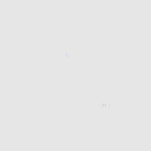 C=C([C]=O)CCCN=C=O